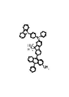 Cc1ccc2c(-c3ccc4c(c3)C(C)(C)c3cc(N(c5ccccc5)c5ccc(-n6c7ccccc7c7ccccc76)cc5)ccc3-4)c3ccccc3c(-c3ccccc3)c2c1